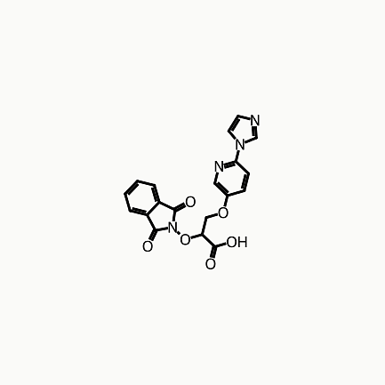 O=C(O)C(COc1ccc(-n2ccnc2)nc1)ON1C(=O)c2ccccc2C1=O